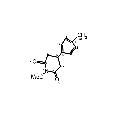 CON1C(=O)CC(c2ccc(C)cc2)CC1=O